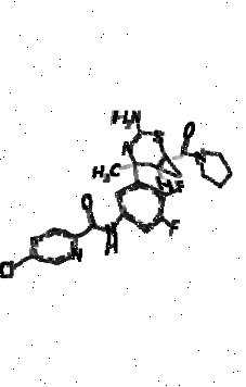 C[C@]1(c2cc(NC(=O)c3ccc(Cl)cn3)cc(F)c2F)N=C(N)S[C@@]2(C(=O)N3CCCC3)C[C@H]21